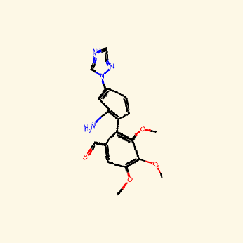 COc1cc(C=O)c(-c2ccc(-n3cncn3)cc2N)c(OC)c1OC